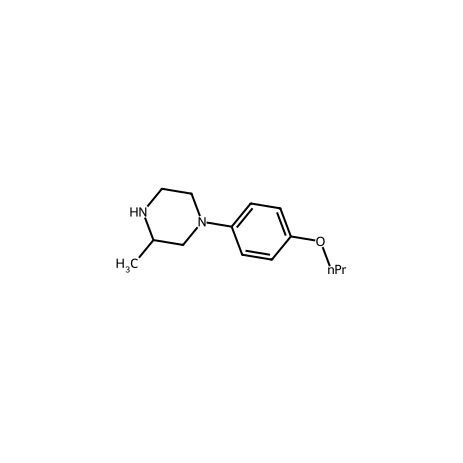 CCCOc1ccc(N2CCNC(C)C2)cc1